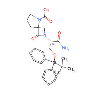 CC(C)(C)[Si](OC[C@@H](C(N)=O)N1CC2(CCCN2C(=O)O)C1=O)(c1ccccc1)c1ccccc1